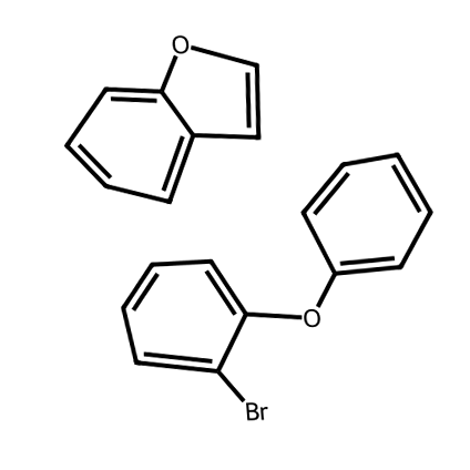 Brc1ccccc1Oc1ccccc1.c1ccc2occc2c1